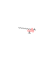 C=C(C)C(=O)OC(CCCCCCCCCCC)OC(=O)C(=C)C